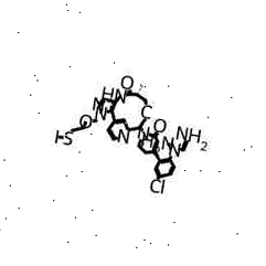 C[C@@H]1CCC[C@H](N2CCC(c3cc(Cl)ccc3N(N)/C=C\N)=CC2=O)c2cc(ccn2)-c2c(cnn2COCCSI)NC1=O